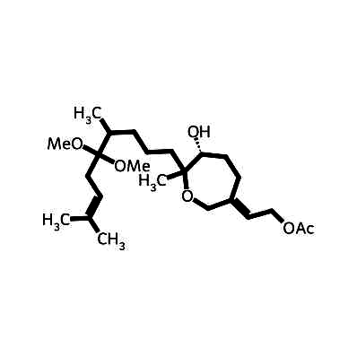 COC(CC=C(C)C)(OC)C(C)CCCC1(C)OC/C(=C/COC(C)=O)CC[C@H]1O